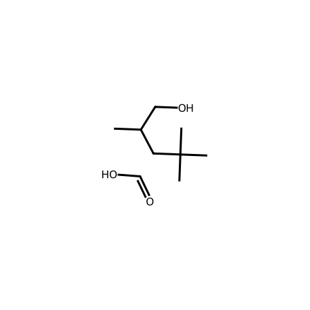 CC(CO)CC(C)(C)C.O=CO